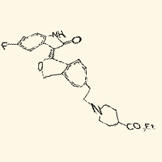 CCOC(=O)C1CCN(CCc2ccc3c(c2)CO/C3=C2/C(=O)Nc3ccc(F)cc32)CC1